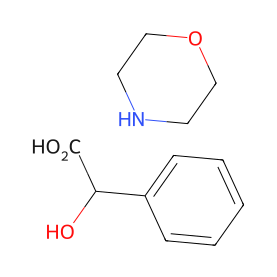 C1COCCN1.O=C(O)C(O)c1ccccc1